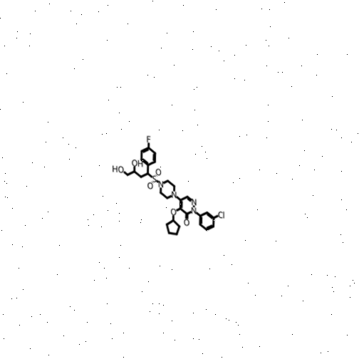 O=c1c(OC2CCCC2)c(N2CCN(S(=O)(=O)C(CC(O)CO)c3ccc(F)cc3)CC2)cnn1-c1cccc(Cl)c1